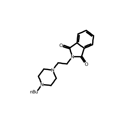 CCCCN1CCN(CCN2C(=O)c3ccccc3C2=O)CC1